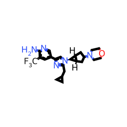 Nc1ncc(-c2cn([C@H]3[C@@H]4CC(N5CCOCC5)C[C@@H]43)c(CC3CC3)n2)cc1C(F)(F)F